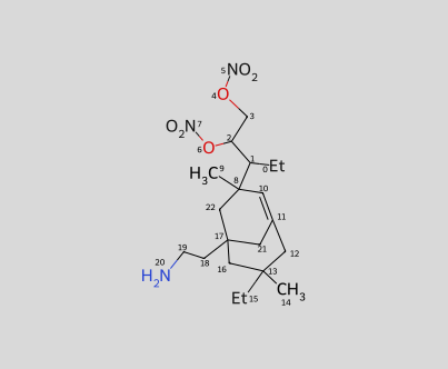 CCC(C(CO[N+](=O)[O-])O[N+](=O)[O-])C1(C)C=C2CC(C)(CC)CC(CCN)(C2)C1